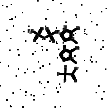 CCc1[nH]cc[n+]1C.CCc1[nH]cc[n+]1C.O=C([O-])C(F)(F)F.O=S(=O)([N-]S(=O)(=O)C(F)(F)F)C(F)(F)F